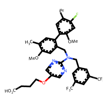 COc1cc(CN(Cc2cc(C(F)(F)F)cc(C(F)(F)F)c2)c2ncc(OCCCC(=O)O)cn2)c(-c2cc(C(C)C)c(F)cc2OC)cc1C